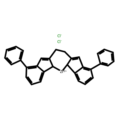 C1=C2CCC3=Cc4c(-c5ccccc5)cccc4[CH]3[Zr+2][CH]2c2cccc(-c3ccccc3)c21.[Cl-].[Cl-]